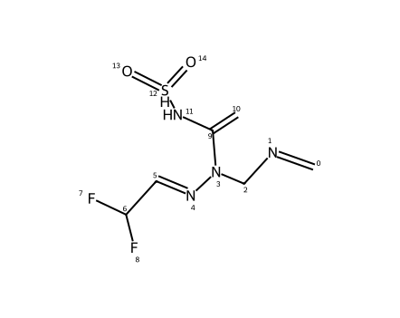 C=NCN(/N=C/C(F)F)C(=C)N[SH](=O)=O